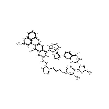 Cc1ncsc1-c1ccc([C@H](C)NC(=O)[C@@H]2C[C@@H](O)CN2C(=O)[C@@H](NC(=O)CCCCN2CCC[C@H]2COc2nc(N3CC4CCC(C3)N4)c3cnc(-c4nc(N)cc5cccc(F)c45)c(F)c3n2)C(C)(C)C)cc1